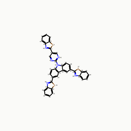 c1ccc2sc(-c3cnc(-n4c5ccc(-c6nc7ccccc7s6)cc5c5cc(-c6nc7ccccc7s6)ccc54)nc3)nc2c1